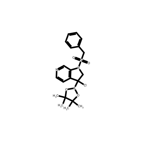 CC1(C)OB(C2(Cl)CN(S(=O)(=O)Cc3ccccc3)c3cnccc32)OC1(C)C